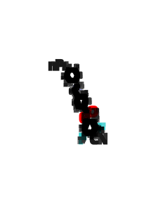 CCC[C@H]1CC[C@H](/C=C/c2ccc(C(=O)Oc3cc(F)c(C#N)c(F)c3)cc2)CC1